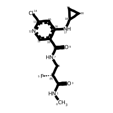 CNC(=O)[C@H](F)CNC(=O)c1cnc(Cl)cc1NC1CC1